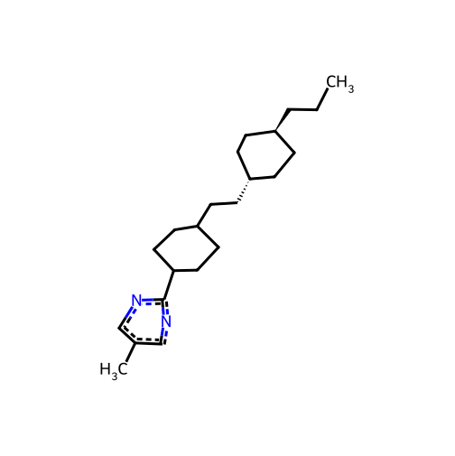 CCC[C@H]1CC[C@H](CCC2CCC(c3ncc(C)cn3)CC2)CC1